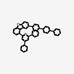 c1ccc(-c2ccc(-c3ccc(-c4ccc5oc6cccc(-c7cc(-c8ccccc8)cc(-c8ccccc8)n7)c6c5c4)cc3)cc2)cc1